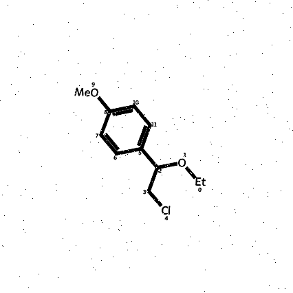 CCOC(CCl)c1ccc(OC)cc1